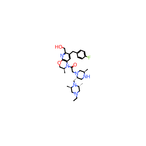 CCN1C[C@@H](C)N(C[C@H]2CN[C@H](C)CN2CC(=O)N2c3cc(Cc4ccc(F)cc4)c(CO)nc3OC[C@@H]2C)[C@H](C)C1